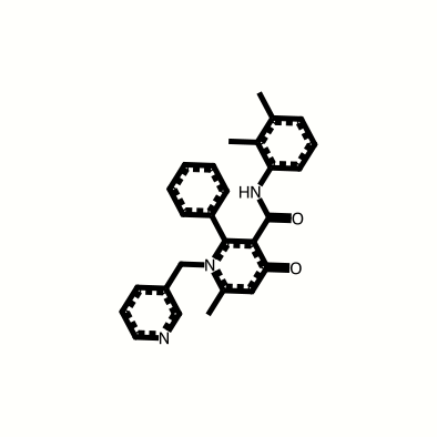 Cc1cccc(NC(=O)c2c(-c3ccccc3)n(Cc3cccnc3)c(C)cc2=O)c1C